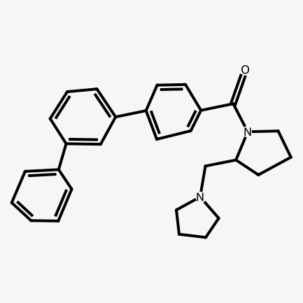 O=C(c1ccc(-c2cccc(-c3ccccc3)c2)cc1)N1CCCC1CN1CCCC1